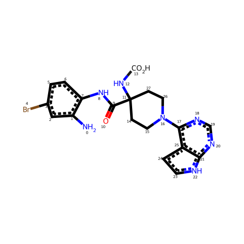 Nc1cc(Br)ccc1NC(=O)C1(NC(=O)O)CCN(c2ncnc3[nH]ccc23)CC1